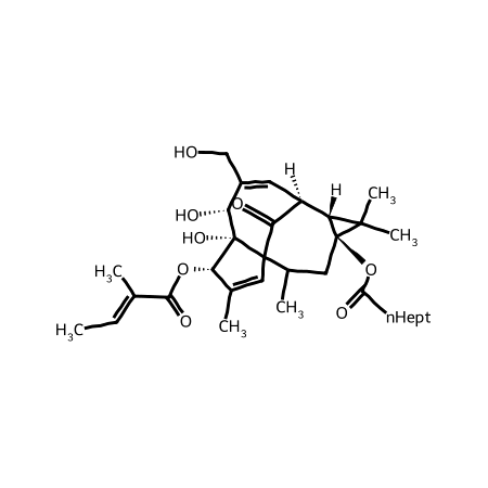 C/C=C(\C)C(=O)O[C@H]1C(C)=CC23C(=O)[C@@H](C=C(CO)[C@@H](O)[C@]12O)[C@@H]1C(C)(C)[C@]1(OC(=O)CCCCCCC)CC3C